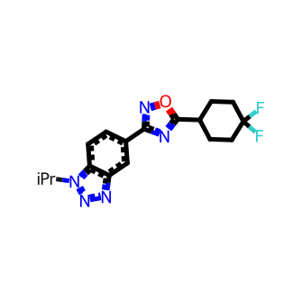 CC(C)n1nnc2cc(-c3noc(C4CCC(F)(F)CC4)n3)ccc21